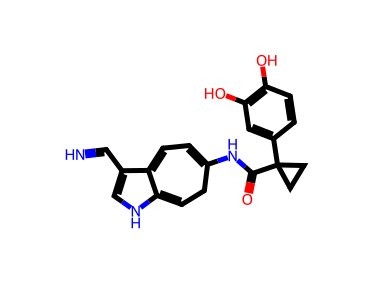 N=Cc1c[nH]c2c1=CC=C(NC(=O)C1(c3ccc(O)c(O)c3)CC1)CC=2